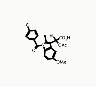 CCC(OC(C)=O)(C(=O)O)c1c(C)n(C(=O)c2ccc(Cl)cc2)c2ccc(OC)cc12